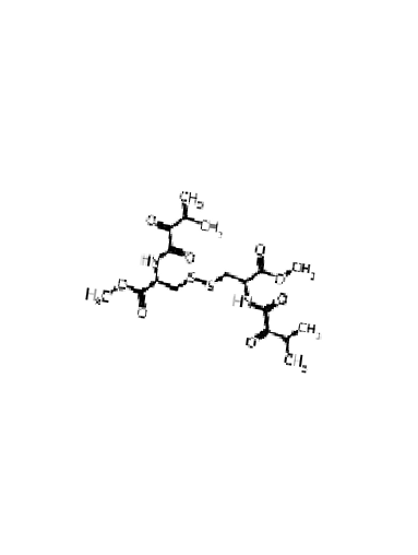 COC(=O)C(CSSCC(NC(=O)C(=O)C(C)C)C(=O)OC)NC(=O)C(=O)C(C)C